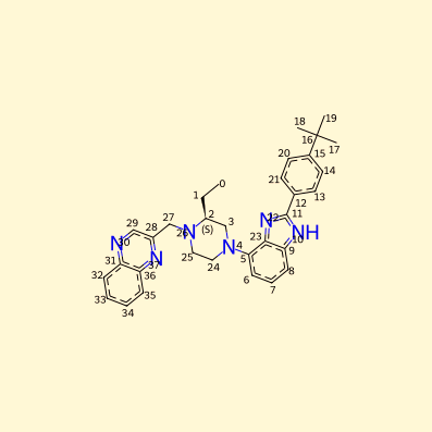 CC[C@H]1CN(c2cccc3[nH]c(-c4ccc(C(C)(C)C)cc4)nc23)CCN1Cc1cnc2ccccc2n1